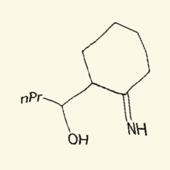 CCCC(O)C1CCCCC1=N